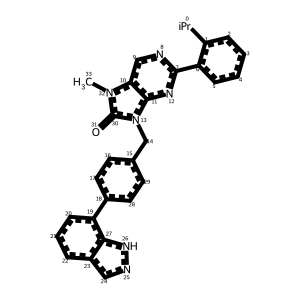 CC(C)c1ccccc1-c1ncc2c(n1)n(Cc1ccc(-c3cccc4cn[nH]c34)cc1)c(=O)n2C